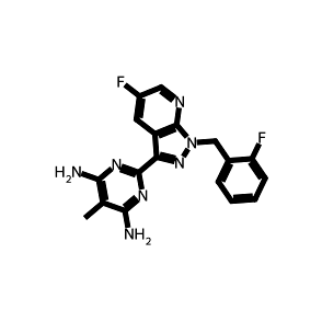 Cc1c(N)nc(-c2nn(Cc3ccccc3F)c3ncc(F)cc23)nc1N